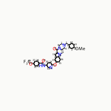 COc1ccc(CN2CCN(C(=O)c3cc4cc(Oc5ccc(NC(=O)c6ccc(OC(F)(F)F)cc6)cn5)ccc4n3C)CC2)cc1